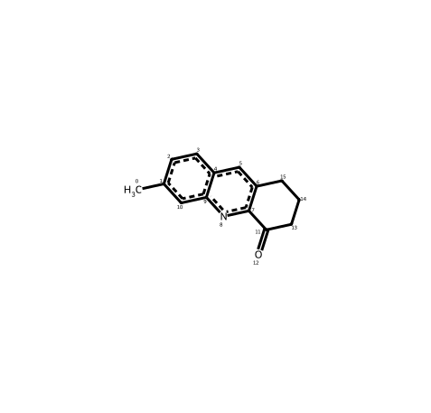 Cc1ccc2cc3c(nc2c1)C(=O)CCC3